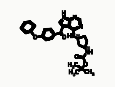 CC(C)(C)OC(=O)N[C@H]1CC[C@H](Nc2ncnc3[nH]cc(C(=O)c4ccc(Oc5ccccc5)cc4)c23)C1